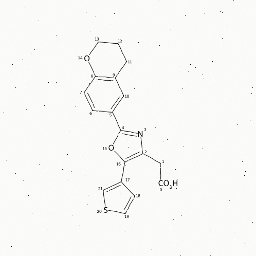 O=C(O)Cc1nc(-c2ccc3c(c2)CCCO3)oc1-c1ccsc1